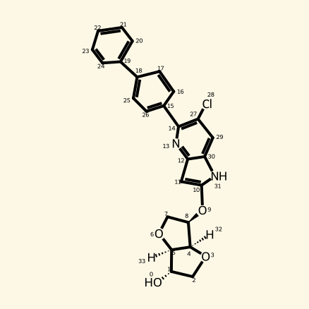 O[C@H]1CO[C@H]2[C@@H]1OC[C@H]2Oc1cc2nc(-c3ccc(-c4ccccc4)cc3)c(Cl)cc2[nH]1